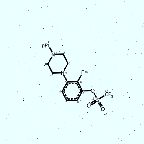 CCCN1CCN(c2cccc(OS(=O)(=O)C(F)(F)F)c2F)CC1